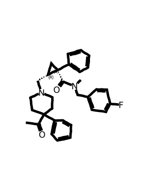 CC(=O)C1(c2ccccc2)CCN(C[C@@H]2C[C@@]2(C(=O)N(C)Cc2ccc(F)cc2)c2ccccc2)CC1